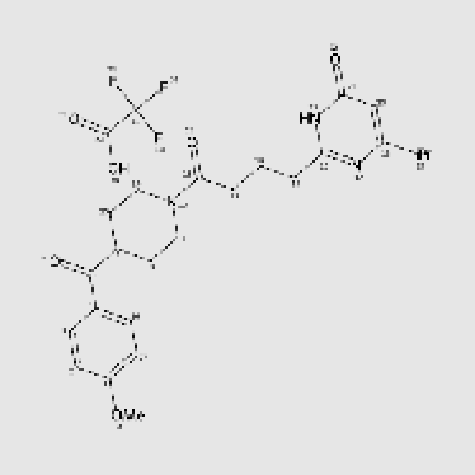 COc1ccc(C(=O)C2CCN(C(=O)CCCc3nc(C(C)C)cc(=O)[nH]3)CC2)cc1.O=C(O)C(F)(F)F